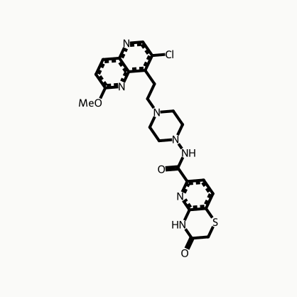 COc1ccc2ncc(Cl)c(CCN3CCN(NC(=O)c4ccc5c(n4)NC(=O)CS5)CC3)c2n1